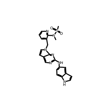 CN(c1ncccc1Cn1ccc2cnc(Nc3ccc4[nH]ccc4c3)nc21)S(C)(=O)=O